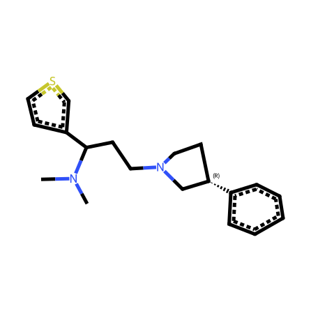 CN(C)C(CCN1CC[C@H](c2ccccc2)C1)c1ccsc1